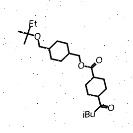 CCC(C)C(=O)C1CCC(C(=O)OCC2CCC(COC(C)(C)CC)CC2)CC1